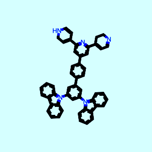 C1=CC(c2cc(-c3ccc(-c4cc(-n5c6ccccc6c6ccccc65)cc(-n5c6ccccc6c6ccccc65)c4)cc3)cc(C3=CC=NCC3)n2)=CCN1